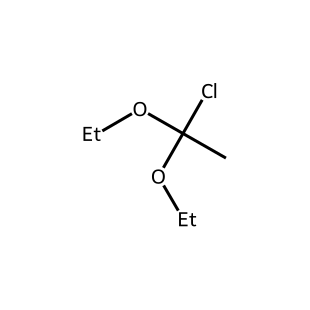 CCOC(C)(Cl)OCC